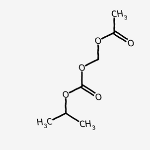 CC(=O)OCOC(=O)OC(C)C